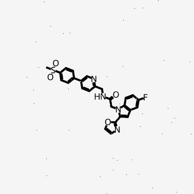 CS(=O)(=O)c1ccc(-c2ccc(CNC(=O)Cn3c(-c4ncco4)cc4cc(F)ccc43)nc2)cc1